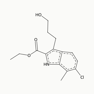 CCOC(=O)c1[nH]c2c(C)c(Cl)ccc2c1CCCO